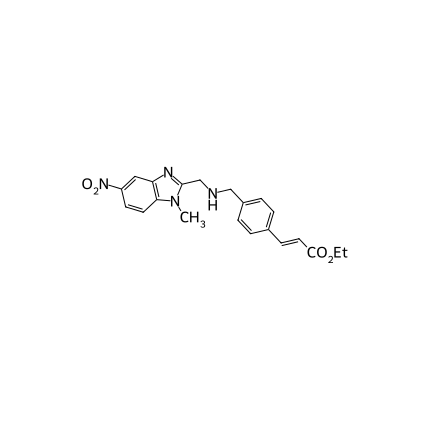 CCOC(=O)/C=C/c1ccc(CNCc2nc3cc([N+](=O)[O-])ccc3n2C)cc1